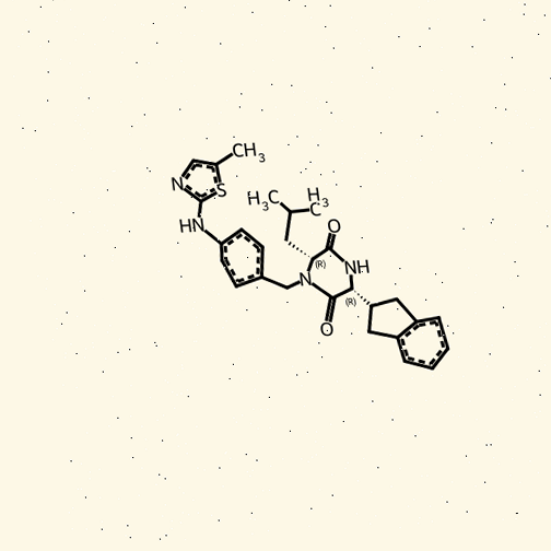 Cc1cnc(Nc2ccc(CN3C(=O)[C@@H](C4Cc5ccccc5C4)NC(=O)[C@H]3CC(C)C)cc2)s1